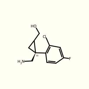 NC[C@@]1(c2ccc(F)cc2Cl)CC1CO